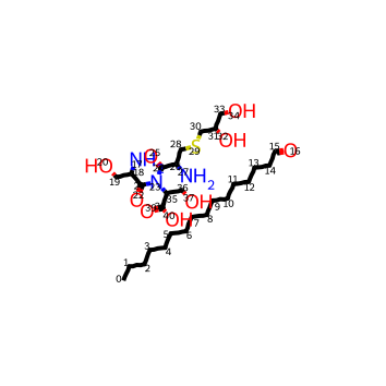 CCCCCCCCCCCCCCCC=O.NC(CO)C(=O)N(C(=O)C(N)CSCC(O)CO)C(CO)C(=O)O